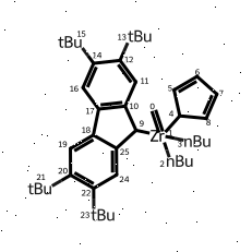 [CH2]=[Zr]([CH2]CCC)([CH2]CCC)([CH]1C=CC=C1)[CH]1c2cc(C(C)(C)C)c(C(C)(C)C)cc2-c2cc(C(C)(C)C)c(C(C)(C)C)cc21